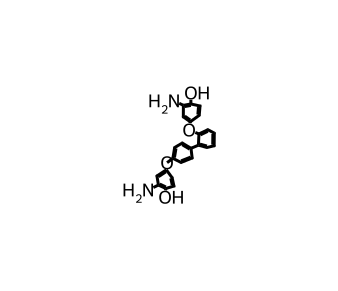 Nc1cc(Oc2ccc(-c3ccccc3Oc3ccc(O)c(N)c3)cc2)ccc1O